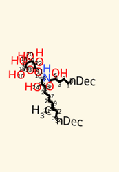 CCCCCCCCCCCCC[C@@H](O)C(=O)N[C@@H](CO[C@@H]1O[C@H](CO)[C@@H](O)C(O)C1O)[C@H](O)CCCC/C=C(\C)CCCCCCCCCCCC